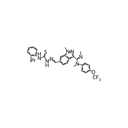 C/N=C(\c1nn(C)c2cc(C=NNC(=S)Nc3ccccc3C(C)C)ccc12)N(C)c1ccc(OC(F)(F)F)cc1